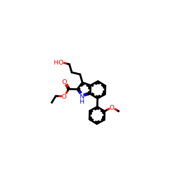 CCOC(=O)c1[nH]c2c(-c3ccccc3OC)cccc2c1CCCO